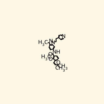 COc1c(C(=O)Nc2ccc3c(C)nn(CCc4ccncc4)c3c2)ccc2c1C=CC(C)(C)O2